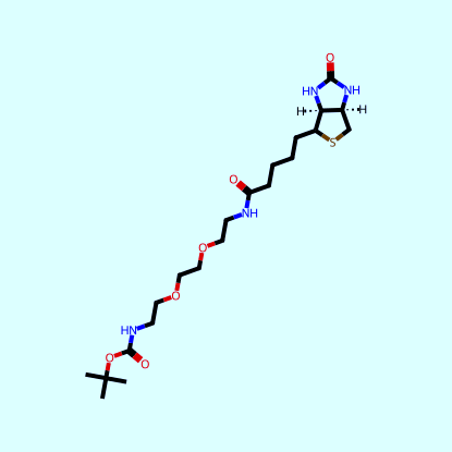 CC(C)(C)OC(=O)NCCOCCOCCNC(=O)CCCCC1SC[C@@H]2NC(=O)N[C@H]12